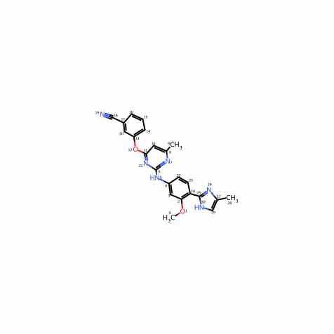 COc1cc(Nc2nc(C)cc(Oc3cccc(C#N)c3)n2)ccc1-c1nc(C)c[nH]1